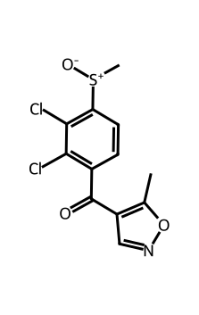 Cc1oncc1C(=O)c1ccc([S+](C)[O-])c(Cl)c1Cl